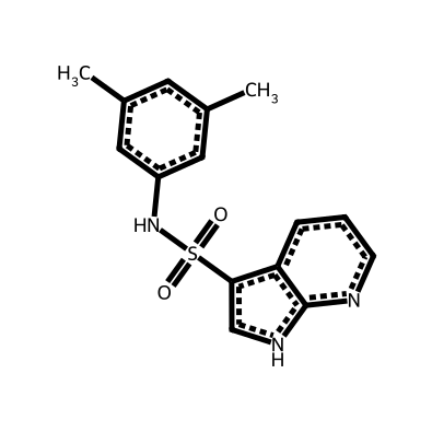 Cc1cc(C)cc(NS(=O)(=O)c2c[nH]c3ncccc23)c1